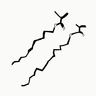 C=C(C)C(=O)OCCCCCCCCCC.C=C(C)C(=O)OCCCCCCCCCCCC